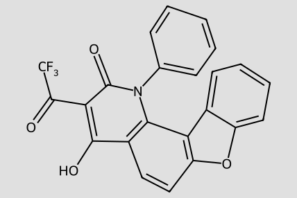 O=C(c1c(O)c2ccc3oc4ccccc4c3c2n(-c2ccccc2)c1=O)C(F)(F)F